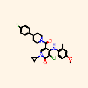 COc1ccc(Nc2c(C(=O)N3CCC(c4ccc(F)cc4)CC3)cn(C3CC3)c(=O)c2Cl)c(C)c1